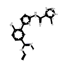 C=CO/C(=N\C)c1ccc(Cl)c(-c2ccc(NC(=O)c3snnc3C)s2)c1